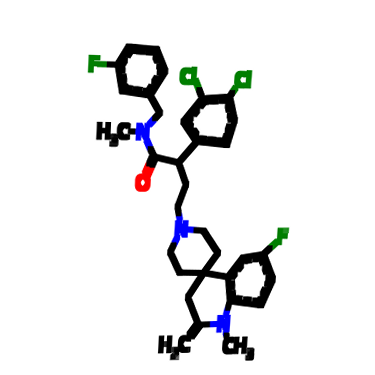 C=C1CC2(CCN(CCC(C(=O)N(C)Cc3cccc(F)c3)c3ccc(Cl)c(Cl)c3)CC2)c2cc(F)ccc2N1C